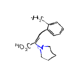 [CH2]c1ccccc1C=C(C(=O)O)N1CCCC1